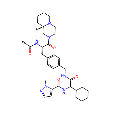 CCC(=O)N[C@H](Cc1ccc(CNC(=O)C(NC(=O)c2ccnn2C)C2CCCCC2)cc1)C(=O)N1CCN2CCCC[C@H]2C1